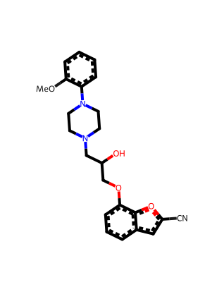 COc1ccccc1N1CCN(CC(O)COc2cccc3cc(C#N)oc23)CC1